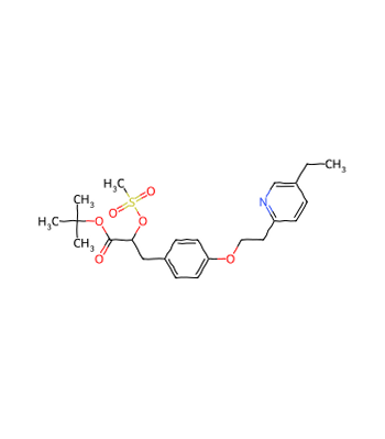 CCc1ccc(CCOc2ccc(CC(OS(C)(=O)=O)C(=O)OC(C)(C)C)cc2)nc1